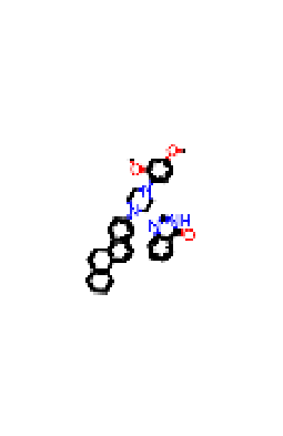 COc1ccc(N2CCN(c3ccc4c5c(ccc4c3)C3=C(CCC=C3)CC5)CC2)c(OC)c1.O=c1[nH]cnc2ccccc12